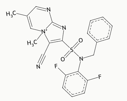 CC1=C[N+]2(C)C(=NC(S(=O)(=O)N(Cc3ccccc3)c3c(F)cccc3F)=C2C#N)N=C1